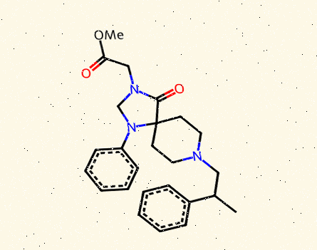 COC(=O)CN1CN(c2ccccc2)C2(CCN(CC(C)c3ccccc3)CC2)C1=O